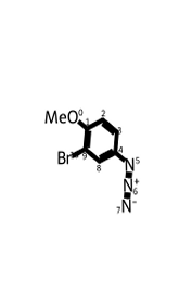 COc1ccc(N=[N+]=[N-])cc1Br